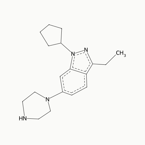 CCc1nn(C2CCCC2)c2cc(N3CCNCC3)ccc12